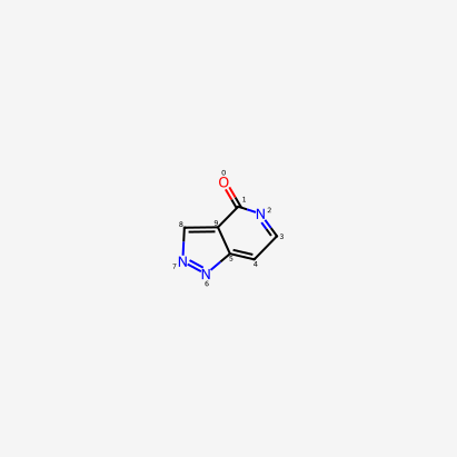 O=C1N=CC=C2N=NC=C12